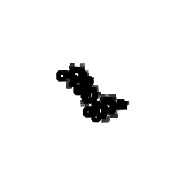 Cc1c(Cl)cccc1S(=O)(=O)N1CCC(N2C(=O)OCc3cc(Br)ccc32)CC1